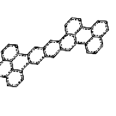 c1cc2cccc3c4cc5cc6cc7c(cc6cc5c5cccc(c(c1)c23)c54)c1cccc2ccc3cccc7c3c21